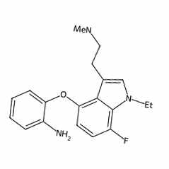 CCn1cc(CCNC)c2c(Oc3ccccc3N)ccc(F)c21